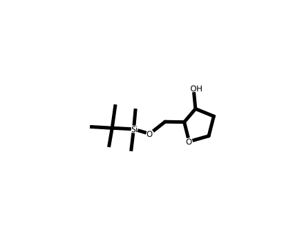 CC(C)(C)[Si](C)(C)OCC1OCCC1O